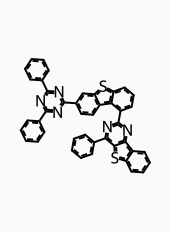 c1ccc(-c2nc(-c3ccccc3)nc(-c3ccc4c(c3)sc3cccc(-c5nc(-c6ccccc6)c6sc7ccccc7c6n5)c34)n2)cc1